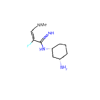 CN/C=C(/F)C(=N)N[C@@H]1CCC[C@H](N)C1